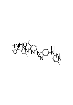 COC(=N)c1cc(C)n(-c2nc(-n3cnc4cc(Nc5ccc(C)nn5)ccc43)ccc2[C@H](C)O)n1